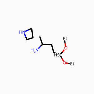 C1CNC1.CCO[SiH](CCC(C)N)OCC